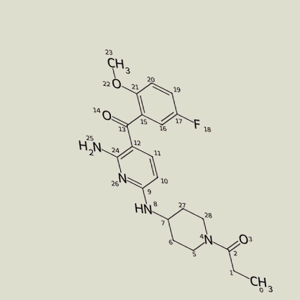 CCC(=O)N1CCC(Nc2ccc(C(=O)c3cc(F)ccc3OC)c(N)n2)CC1